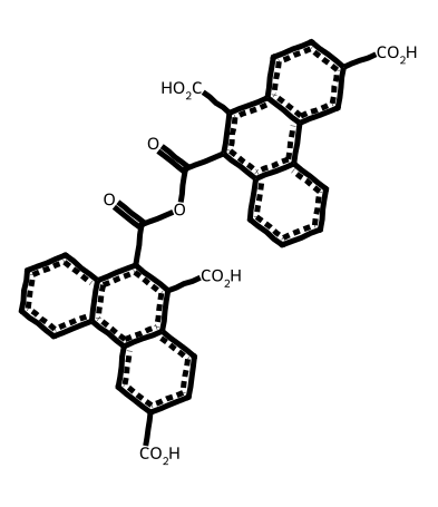 O=C(O)c1ccc2c(C(=O)O)c(C(=O)OC(=O)c3c(C(=O)O)c4ccc(C(=O)O)cc4c4ccccc34)c3ccccc3c2c1